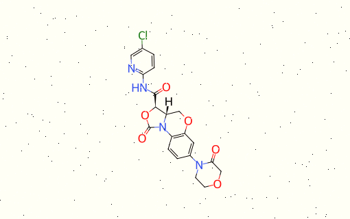 O=C(Nc1ccc(Cl)cn1)[C@@H]1OC(=O)N2c3ccc(N4CCOCC4=O)cc3OC[C@@H]12